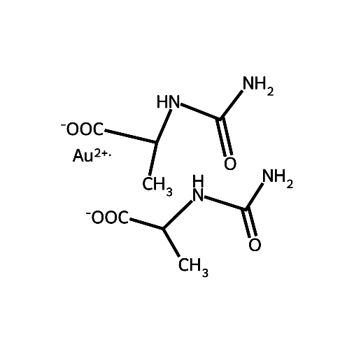 CC(NC(N)=O)C(=O)[O-].CC(NC(N)=O)C(=O)[O-].[Au+2]